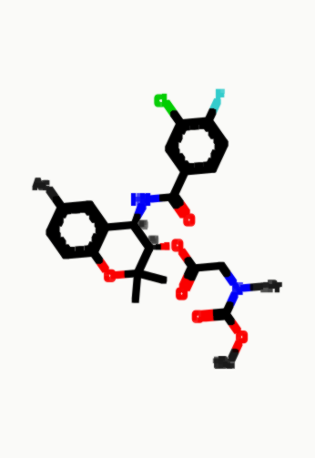 CCCN(CC(=O)O[C@H]1[C@H](NC(=O)c2ccc(F)c(Cl)c2)c2cc(C(C)=O)ccc2OC1(C)C)C(=O)OC(C)(C)C